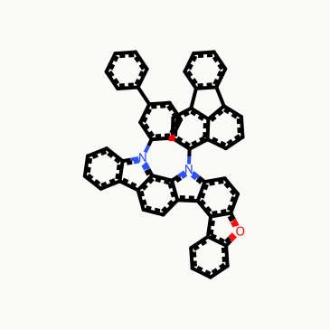 c1ccc(-c2cccc(-n3c4ccccc4c4ccc5c6c7c(ccc6n(-c6ccc8c9c(cccc69)-c6ccccc6-8)c5c43)oc3ccccc37)c2)cc1